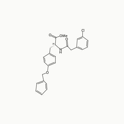 COC(=O)[C@@H](Cc1ccc(OCc2ccccc2)cc1)NC(=O)Cc1cccc(Cl)c1